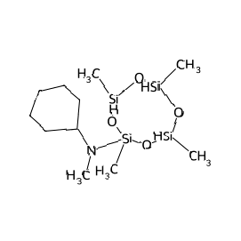 CN(C1CCCCC1)[Si]1(C)O[SiH](C)O[SiH](C)O[SiH](C)O1